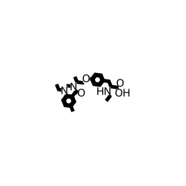 CCNC(Cc1ccc(OCC(C)N2CN(CC)c3ccc(C)cc3C2=O)cc1)C(=O)O